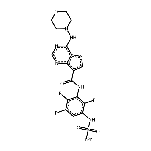 CCCS(=O)(=O)Nc1cc(F)c(F)c(NC(=O)c2csc3c(NN4CCOCC4)ncnc23)c1F